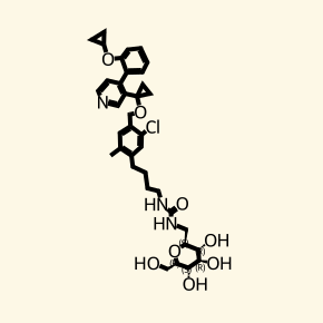 Cc1cc(COC2(c3cnccc3-c3ccccc3OC3CC3)CC2)c(Cl)cc1CCCCNC(=O)NC[C@@H]1O[C@H](CO)[C@@H](O)[C@H](O)[C@H]1O